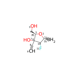 B[C@@H]1O[C@H](CO)C(O)(C#C)C1F